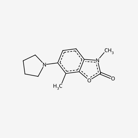 Cc1c(N2CCCC2)ccc2c1oc(=O)n2C